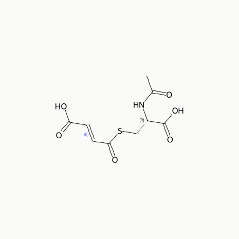 CC(=O)N[C@@H](CSC(=O)/C=C/C(=O)O)C(=O)O